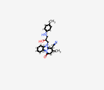 Cc1ccc(NCC(O)Cn2c3ccccc3n3c(=O)cc(C)c(C#N)c23)cc1